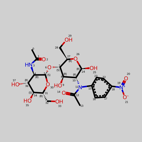 CC(=O)N[C@H]1[C@H](O[C@H]2[C@H](O)[C@@H](N(C(C)=O)c3ccc([N+](=O)[O-])cc3)[C@H](O)O[C@@H]2CO)O[C@H](CO)[C@@H](O)[C@@H]1O